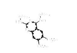 CCCCCCNc1nc(NCCCCCC)c2cc(OC)c(OC)cc2n1